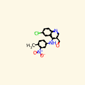 Cc1ccc(Nc2c(C=O)cnc3ccc(Cl)cc23)cc1[N+](=O)[O-]